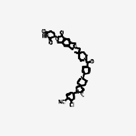 C[C@H]1CC2(CCN(c3ccc(C(=O)N4CCC(C)(CN5Cc6cc7c(cc6C5)C(=O)N(C5CCC(=O)NC5=O)C7)CC4)cc3)CC2)CN1c1ccc(C#N)c(Cl)c1